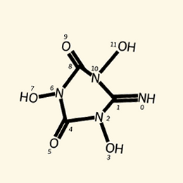 N=c1n(O)c(=O)n(O)c(=O)n1O